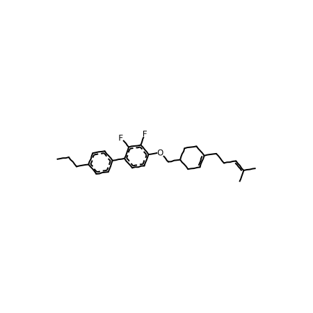 CCCc1ccc(-c2ccc(OCC3CC=C(CCC=C(C)C)CC3)c(F)c2F)cc1